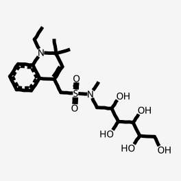 CCN1c2ccccc2C(CS(=O)(=O)N(C)CC(O)C(O)C(O)C(O)CO)=CC1(C)C